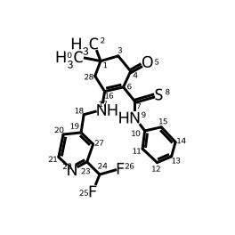 CC1(C)CC(=O)C(C(=S)Nc2ccccc2)=C(NCc2ccnc(C(F)F)c2)C1